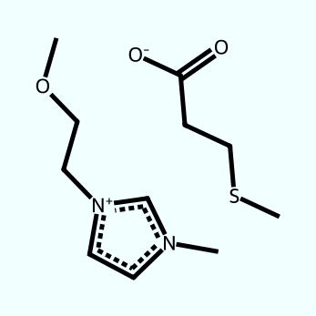 COCC[n+]1ccn(C)c1.CSCCC(=O)[O-]